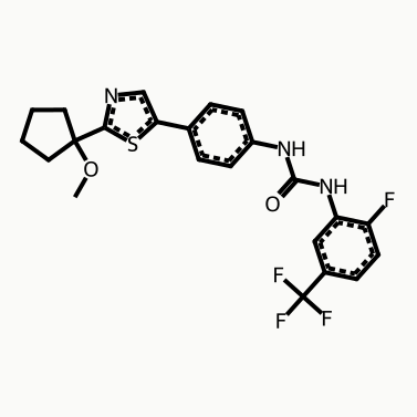 COC1(c2ncc(-c3ccc(NC(=O)Nc4cc(C(F)(F)F)ccc4F)cc3)s2)CCCC1